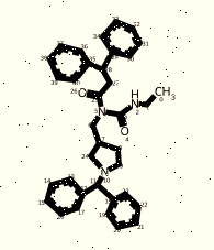 CCNC(=O)N(CC1CCN(C(c2ccccc2)c2ccccc2)C1)C(=O)CC(c1ccccc1)c1ccccc1